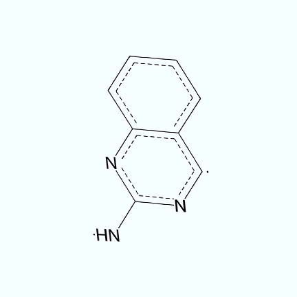 [NH]c1n[c]c2ccccc2n1